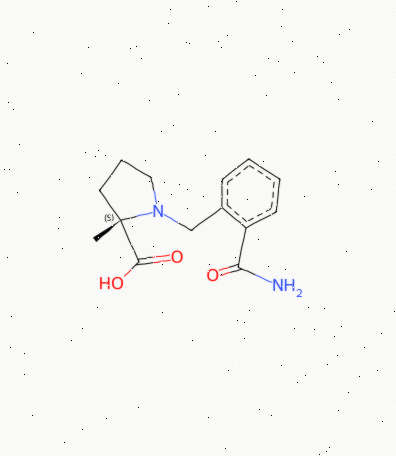 C[C@@]1(C(=O)O)CCCN1Cc1ccccc1C(N)=O